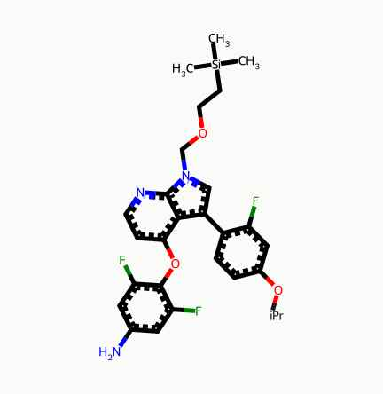 CC(C)Oc1ccc(-c2cn(COCC[Si](C)(C)C)c3nccc(Oc4c(F)cc(N)cc4F)c23)c(F)c1